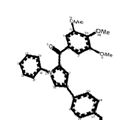 COc1cc(C(=O)c2cc(-c3ccc(C)cc3)cn2-c2ccccc2)cc(OC)c1OC